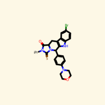 CC(C)N1C(=O)C2Cc3c([nH]c4ccc(Br)cc34)C(c3ccc(N4CCOCC4)cc3)N2C1=S